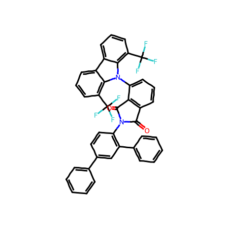 O=C1c2cccc(-n3c4c(C(F)(F)F)cccc4c4cccc(C(F)(F)F)c43)c2C(=O)N1c1ccc(-c2ccccc2)cc1-c1ccccc1